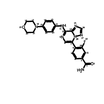 NC(=O)c1ccc(-c2cnc(Nc3ccc(N4CCOCC4)cc3)c3ncnn23)c(F)c1